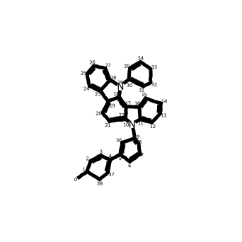 CC1C=CC(c2cccc(-n3c4ccccc4c4c5c(ccc43)c3ccccc3n5C3=CCCC=C3)c2)=CC1